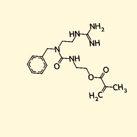 C=C(C)C(=O)OCCNC(=O)N(CCNC(=N)N)Cc1ccccc1